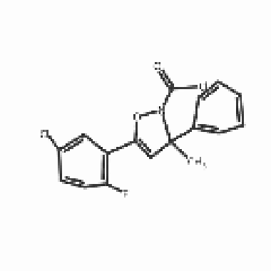 CC1(c2ccccc2)C=C(c2cc(Cl)ccc2F)ON1C(=O)Cl